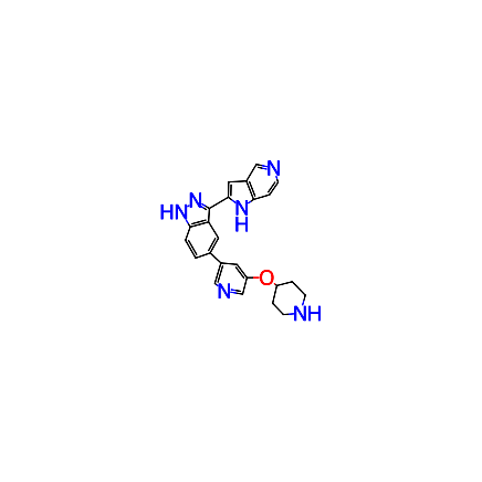 c1cc2[nH]c(-c3n[nH]c4ccc(-c5cncc(OC6CCNCC6)c5)cc34)cc2cn1